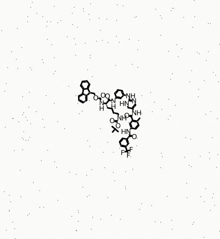 Cc1ccc(NC(=O)c2cccc(C(F)(F)F)c2)cc1C(=O)NC1=CN=C(Nc2cccc(NC(=O)[C@@H](CCCCNC(=O)OC(C)(C)C)NC(=O)OCC3c4ccccc4-c4ccccc43)c2)NC1